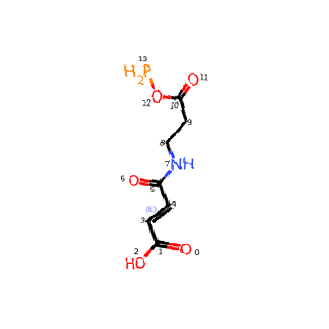 O=C(O)/C=C/C(=O)NCCC(=O)OP